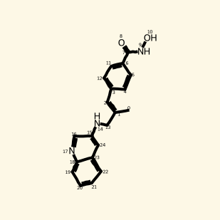 CC(=Cc1ccc(C(=O)NO)cc1)CNc1cnc2ccccc2c1